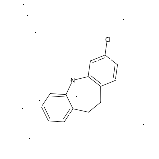 Clc1ccc2c(c1)[N]c1ccccc1CC2